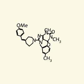 COc1ccc(/C=C2/CCCN(c3nc4c(c(=O)n(C)c(=O)n4C)n3Cc3cccc(C)c3)CC2)cc1